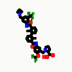 Cc1c(-c2nc3cc(CN4CCC[C@H]4C(=O)O)c(OC(F)F)cc3o2)cccc1-c1cccc(-c2nc3cc(CN4CCC4)cc(C(F)(F)F)c3o2)c1C